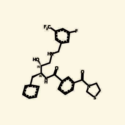 O=C(N[C@@H](Cc1ccccc1)[C@H](O)CNCc1cc(F)cc(C(F)(F)F)c1)c1cccc(C(=O)N2CCSC2)c1